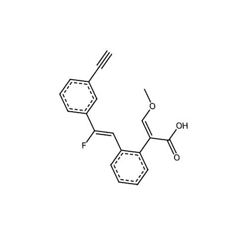 C#Cc1cccc(C(F)=Cc2ccccc2C(=COC)C(=O)O)c1